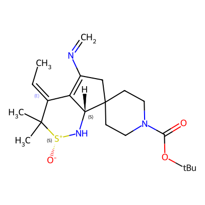 C=NC1=C2/C(=C\C)C(C)(C)[S@@+]([O-])N[C@H]2C2(CCN(C(=O)OC(C)(C)C)CC2)C1